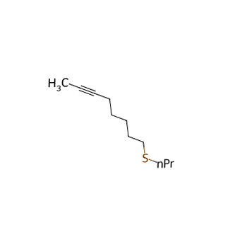 [CH2]CCSCCCCCC#CC